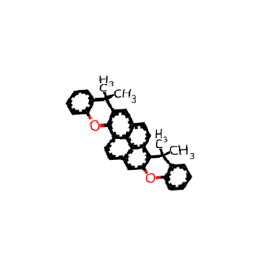 CC1(C)c2ccccc2Oc2c1cc1ccc3c4c(cc5ccc2c1c53)Oc1ccccc1C4(C)C